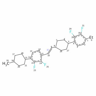 CCc1ccc(C2CCC(/C=C/c3ccc(C4CCC(C)CC4)c(F)c3F)CC2)c(F)c1F